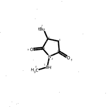 CBN1C(=O)CC(C(C)(C)C)C1=O